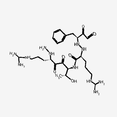 C[C@@H](O)[C@H](NC(=O)[C@H](CCCNC(N)N)NN[C@@H](Cc1ccccc1)C(=O)C=O)C(=O)C(=O)[C@H](CCCNC(N)N)NN